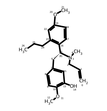 C=CCN(C)[C@H](Cc1ccc(OC)c(O)c1)c1ccc(OC)cc1CCC